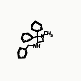 CN1CC(NCc2ccccc2)C1(c1ccccc1)c1ccccc1